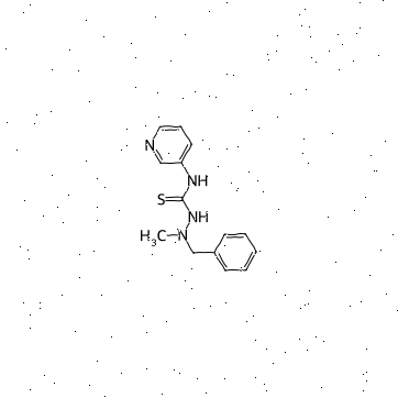 CN(Cc1ccccc1)NC(=S)Nc1cccnc1